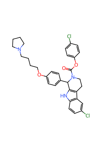 O=C(Oc1ccc(Cl)cc1)N1CCc2c([nH]c3ccc(Cl)cc23)C1c1ccc(OCCCCN2CCCC2)cc1